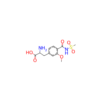 COc1cc(CC(N)C(=O)O)ccc1C(=O)NS(C)(=O)=O